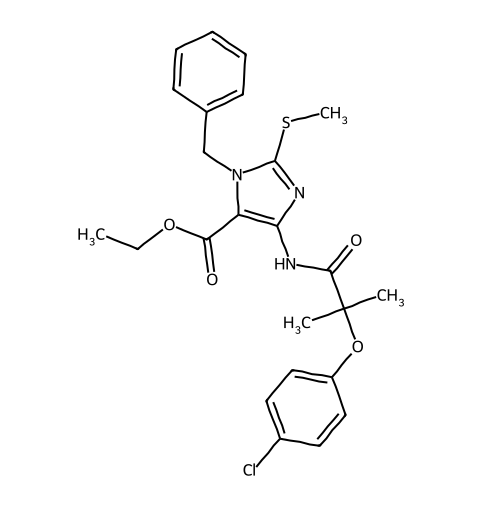 CCOC(=O)c1c(NC(=O)C(C)(C)Oc2ccc(Cl)cc2)nc(SC)n1Cc1ccccc1